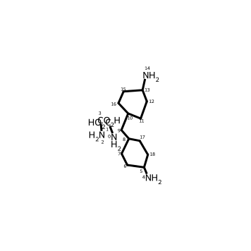 NC(=O)O.NC(=O)O.NC1CCC(CC2CCC(N)CC2)CC1